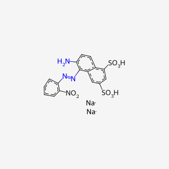 Nc1ccc2c(S(=O)(=O)O)cc(S(=O)(=O)O)cc2c1N=Nc1ccccc1[N+](=O)[O-].[Na].[Na]